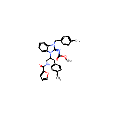 Cc1ccc(CC(CNC(=O)c2ccco2)n2c(=NC(=O)OC(C)(C)C)n(Cc3ccc(C)cc3)c3ccccc32)cc1